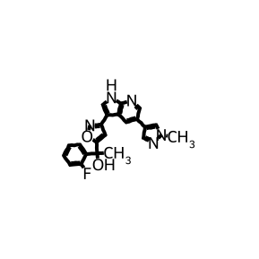 Cn1cc(-c2cnc3[nH]cc(-c4cc(C(C)(O)c5ccccc5F)on4)c3c2)cn1